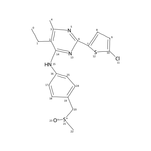 CCc1c(C)nc(-c2ccc(Cl)s2)nc1Nc1ccc(C[S+](C)[O-])cc1